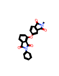 CN1C(=O)c2ccc(Oc3cccc4c3C(=O)N(c3ccccc3)C4=O)cc2C1=O